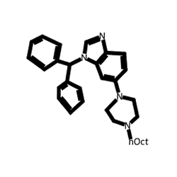 CCCCCCCCN1CCN(c2ccc3ncn(C(c4ccccc4)c4ccccc4)c3c2)CC1